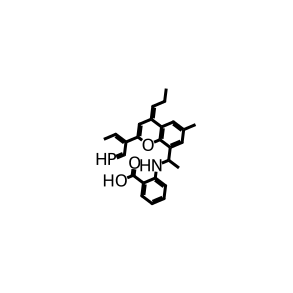 C/C=C(\C=P)C1=C/C(=C/CC)c2cc(C)cc(C(C)Nc3ccccc3C(=O)O)c2O1